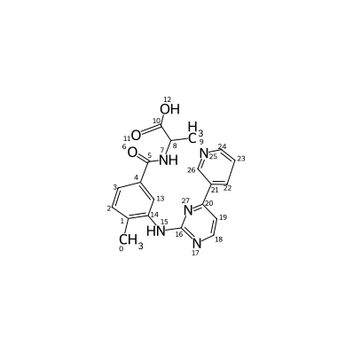 Cc1ccc(C(=O)NC(C)C(=O)O)cc1Nc1nccc(-c2cccnc2)n1